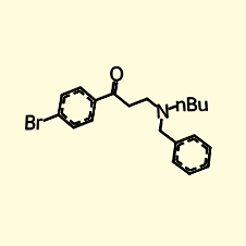 CCCCN(CCC(=O)c1ccc(Br)cc1)Cc1ccccc1